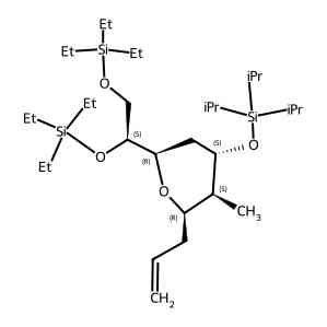 C=CC[C@H]1O[C@@H]([C@H](CO[Si](CC)(CC)CC)O[Si](CC)(CC)CC)C[C@H](O[Si](C(C)C)(C(C)C)C(C)C)[C@H]1C